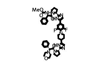 COC(=O)N[C@@H](C(=O)N1CCC[C@H]1c1ncc(-c2cc(F)c(N3CCC(c4cnc([C@@H]5CCCN5C(=O)[C@@H](c5ccccc5)N5CCOCC5)[nH]4)CC3)c(F)c2)[nH]1)c1ccccc1